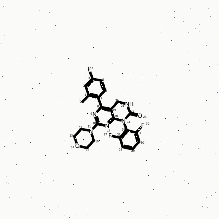 Cc1cc(F)ccc1-c1nc(N2CCOCC2)nc2c1CNC(=O)N2c1c(F)cccc1F